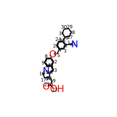 N#Cc1cc(COc2ccc3c(c2)cc2n3CC[C@@H]2CC(=O)O)ccc1C1CCCCC1